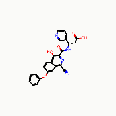 N#Cc1nc(C(=O)N[C@@H](CC(=O)O)c2cccnc2)c(O)c2ccc(Oc3ccccc3)cc12